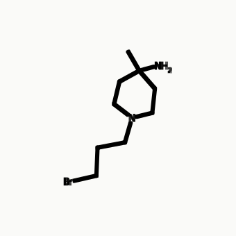 CC1(N)CCN(CCCBr)CC1